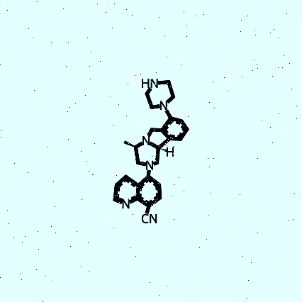 C[C@@H]1CN(c2ccc(C#N)c3ncccc23)C[C@@H]2c3cccc(N4CCNCC4)c3CN12